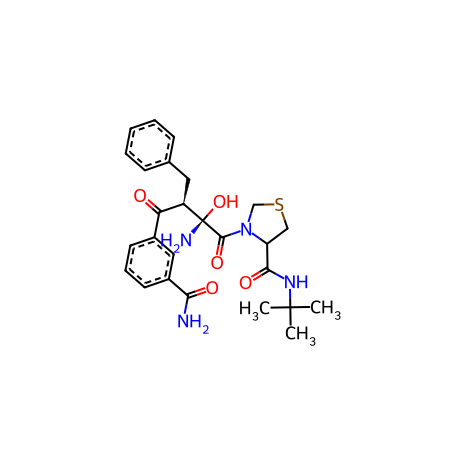 CC(C)(C)NC(=O)C1CSCN1C(=O)[C@@](N)(O)[C@H](Cc1ccccc1)C(=O)c1cccc(C(N)=O)c1